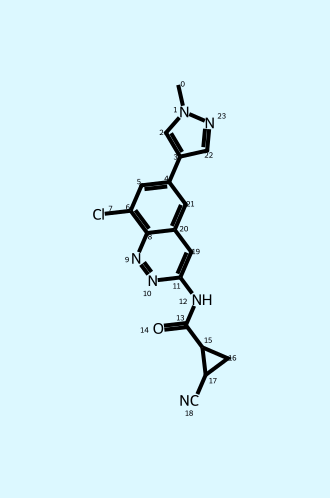 Cn1cc(-c2cc(Cl)c3nnc(NC(=O)C4CC4C#N)cc3c2)cn1